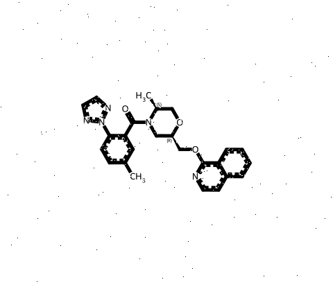 Cc1ccc(-n2nccn2)c(C(=O)N2C[C@H](COc3nccc4ccccc34)OC[C@@H]2C)c1